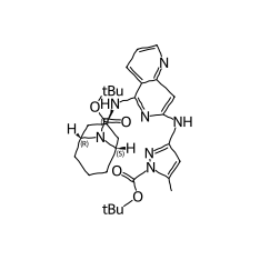 Cc1cc(Nc2cc3ncccc3c(N[C@@H]3C[C@H]4CCC[C@@H](C3)N4C(=O)OC(C)(C)C)n2)nn1C(=O)OC(C)(C)C